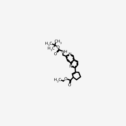 CCOC(=O)C1C=C(c2ccc3cnc(CNC(=O)OC(C)(C)C)cc3n2)CCC1